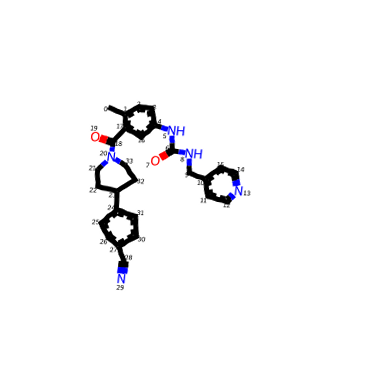 Cc1ccc(NC(=O)NCc2ccncc2)cc1C(=O)N1CCC(c2ccc(C#N)cc2)CC1